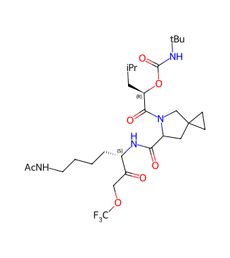 CC(=O)NCCCC[C@H](NC(=O)C1CC2(CC2)CN1C(=O)[C@@H](CC(C)C)OC(=O)NC(C)(C)C)C(=O)COC(F)(F)F